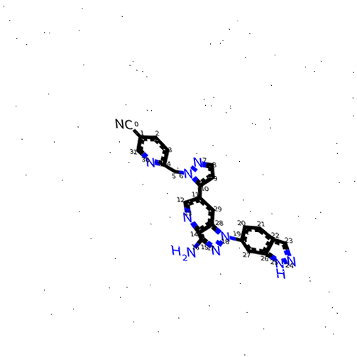 N#Cc1ccc(Cn2nccc2-c2cnc3c(N)nn(-c4ccc5cn[nH]c5c4)c3c2)nc1